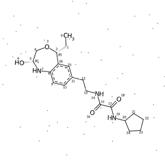 CC[C@H]1OC[C@@H](O)Nc2ccc(CCNC(=O)C(=O)NC3CCCC3)cc21